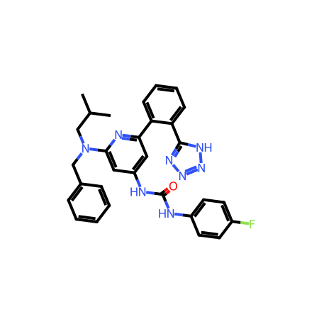 CC(C)CN(Cc1ccccc1)c1cc(NC(=O)Nc2ccc(F)cc2)cc(-c2ccccc2-c2nnn[nH]2)n1